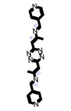 CC(=C\c1nnc(/C=C(C)/N=C/c2ccncc2)nn1)/N=C/c1ccncc1